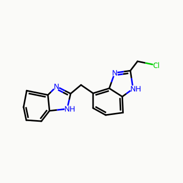 ClCc1nc2c(Cc3nc4ccccc4[nH]3)cccc2[nH]1